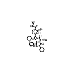 CCC[C@@H](NC(=O)[C@@H]1[C@@H](C2CCCCC2)CN1C(=O)[C@@H](NC(=O)[C@@H](NC(=O)c1cnccn1)C1CCCCC1)C(C)(C)C)C(=O)C(=O)NC1CC1